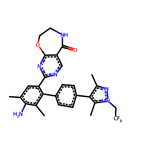 Cc1cc(-c2ncc3c(n2)OCCNC3=O)c(-c2ccc(-c3c(C)nn(CC(F)(F)F)c3C)cc2)c(C)c1N